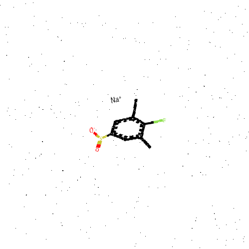 Cc1cc(S(=O)[O-])cc(C)c1F.[Na+]